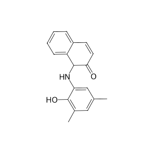 Cc1cc(C)c(O)c(NC2C(=O)C=Cc3ccccc32)c1